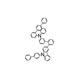 c1ccc(-c2ccc(-c3ccccc3N(c3ccccc3)c3cccc(-c4ccccc4-c4ccc5c(c4)c4ccccc4n5-c4ccc(-c5ccccc5)cc4)c3)cc2)cc1